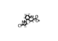 COC(=O)c1ccc2c(-n3ccc(Cl)n3)cccc2n1